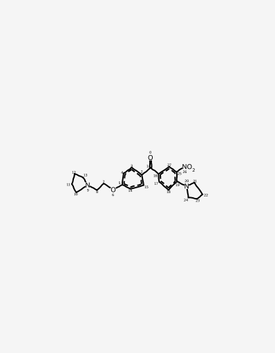 O=C(c1ccc(OCCN2CCCC2)cc1)c1ccc(N2CCCC2)c([N+](=O)[O-])c1